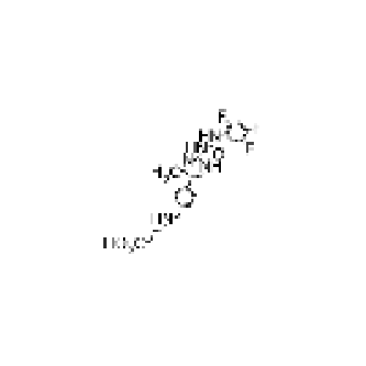 C=C1N=C(NC(=O)Nc2cc(F)c(F)cc2F)NC=C1c1ccc(CNCCCC(=O)O)cc1